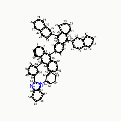 c1ccc2c(-c3ccc4c(-c5ccc6ccccc6c5)c5ccccc5c(-c5ccc6ccccc6c5)c4c3)c3ccccc3c(-c3cccc(-c4nc5ccccc5n4C4=CCCC=C4)c3)c2c#1